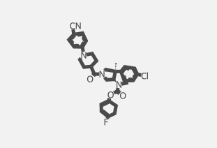 CN(C(=O)OC1=CC=C(F)CC1)[C@@H]1CN(C(=O)C2CCN(c3ccc(C#N)cc3)CC2)C[C@@]1(C)c1ccc(Cl)cc1